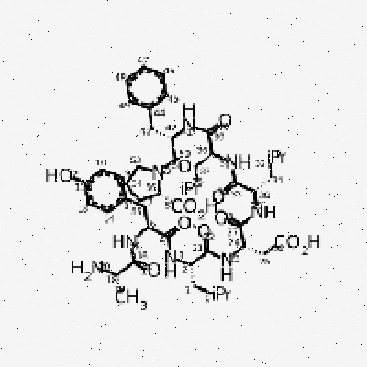 CC(C)C[C@H](NC(=O)[C@H](Cc1ccc(O)cc1)NC(=O)[C@H](C)N)C(=O)N[C@@H](CC(=O)O)C(=O)N[C@@H](CC(C)C)C(=O)N[C@@H](CC(C)C)C(=O)N[C@@H](Cc1ccccc1)C(=O)N1CCC[C@H]1C(=O)O